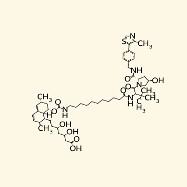 Cc1ncsc1-c1ccc(CNC(=O)[C@@H]2C[C@@H](O)CN2C(=O)C(NC(=O)CCCCCCCCCCNC(=O)O[C@H]2C[C@@H](C)C=C3C=C[C@H](C)[C@H](CCC(O)CC(O)CC(=O)O)[C@H]32)C(C)(C)C)cc1